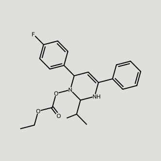 CCOC(=O)ON1C(c2ccc(F)cc2)C=C(c2ccccc2)NC1C(C)C